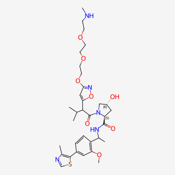 CNCCOCCOCCOc1cc(C(C(=O)N2C[C@H](O)C[C@H]2C(=O)NC(C)c2ccc(-c3scnc3C)cc2OC)C(C)C)on1